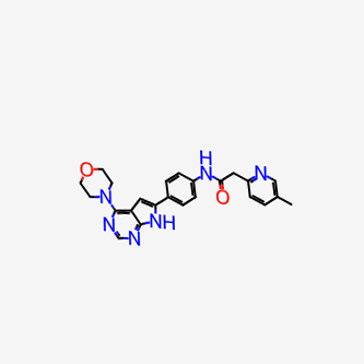 Cc1ccc(CC(=O)Nc2ccc(-c3cc4c(N5CCOCC5)ncnc4[nH]3)cc2)nc1